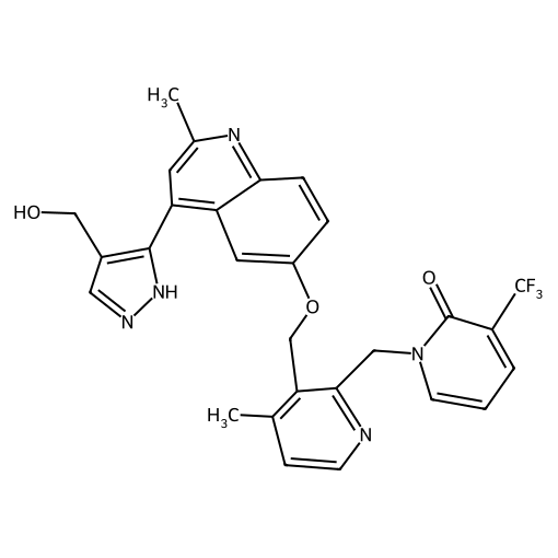 Cc1cc(-c2[nH]ncc2CO)c2cc(OCc3c(C)ccnc3Cn3cccc(C(F)(F)F)c3=O)ccc2n1